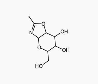 CC1=NC2OC(CO)C(O)C(O)C2O1